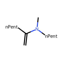 C=C(CCCCC)N(C)CCCCC